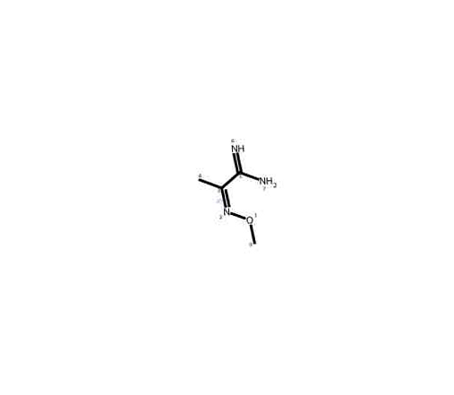 CO/N=C(/C)C(=N)N